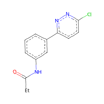 CCC(=O)Nc1cccc(-c2ccc(Cl)nn2)c1